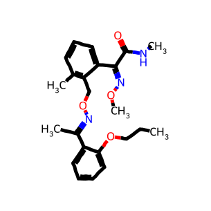 CCCOc1ccccc1/C(C)=N/OCc1c(C)cccc1/C(=N\OC)C(=O)NC